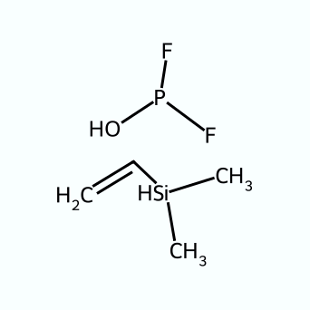 C=C[SiH](C)C.OP(F)F